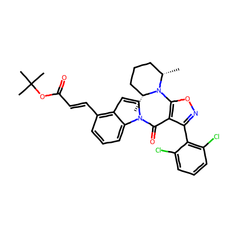 C[C@@H]1CCC[C@H](C)N1c1onc(-c2c(Cl)cccc2Cl)c1C(=O)n1ccc2c(/C=C/C(=O)OC(C)(C)C)cccc21